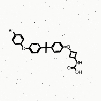 CC(C)(c1ccc(Oc2ccc(Br)cc2)cc1)c1ccc(OC2CC(NC(=O)O)C2)cc1